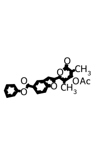 CC(=O)Oc1c(C)c(-c2cc3cc(C(=O)Oc4ccccc4)ccc3o2)oc(=O)c1C